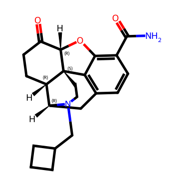 NC(=O)c1ccc2c3c1O[C@H]1C(=O)CC[C@H]4[C@@H](C2)N(CC2CCC2)CC[C@]314